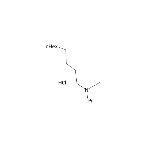 CCCCCCCCCCN(C)C(C)C.Cl